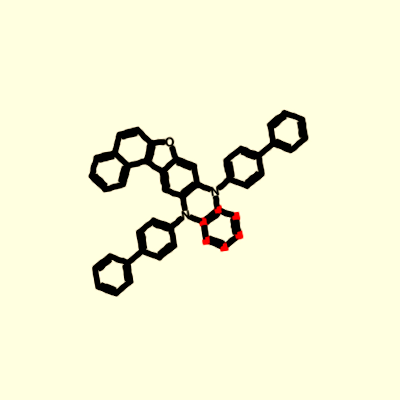 C1=CCC(N(c2ccc(-c3ccccc3)cc2)c2cc3oc4ccc5ccccc5c4c3cc2N(c2ccccc2)c2ccc(-c3ccccc3)cc2)C=C1